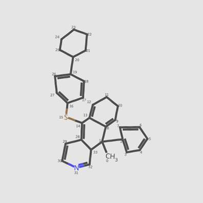 CC1(c2ccccc2)C2=CCCC=C2C(Sc2ccc(C3CCCCC3)cc2)=C2C=CN=CC21